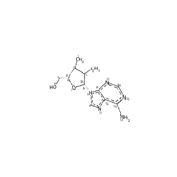 CC1C(C)[C@@H](CO)O[C@H]1n1cnc2c(N)ncnc21